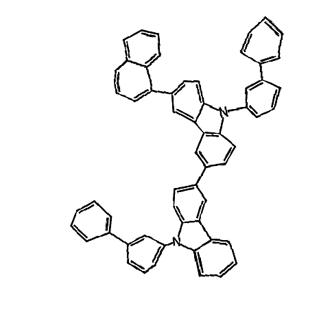 c1ccc(-c2cccc(-n3c4ccccc4c4cc(-c5ccc6c(c5)c5cc(-c7cccc8ccccc78)ccc5n6-c5cccc(-c6ccccc6)c5)ccc43)c2)cc1